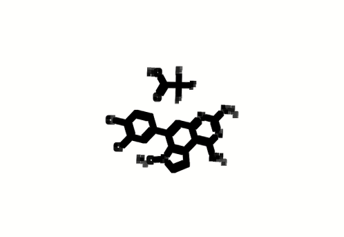 Cn1ccc2c3c(N)nc(N)nc3cc(-c3ccc(Cl)c(Cl)c3)c21.O=C(O)C(F)(F)F